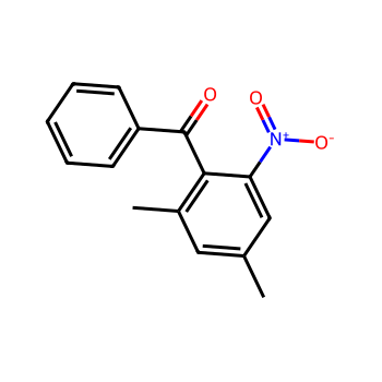 Cc1cc(C)c(C(=O)c2ccccc2)c([N+](=O)[O-])c1